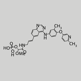 COC(OP(=O)(O)O)C(=O)NC/C=C/c1ccc2ncnc(Nc3ccc(Oc4ccc(C)nc4)c(C)c3)c2c1